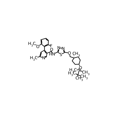 COc1cccc(F)c1-c1cc(C)ncc1C(=O)Nc1nnc(OC[C@]2(C)CC[C@H](O[Si](C)(C)C(C)(C)C)CC2)s1